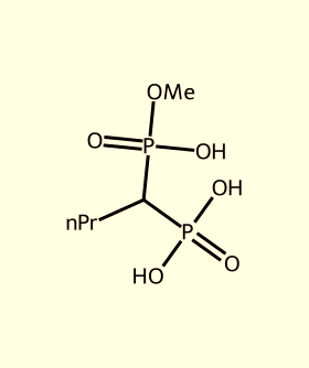 CCCC(P(=O)(O)O)P(=O)(O)OC